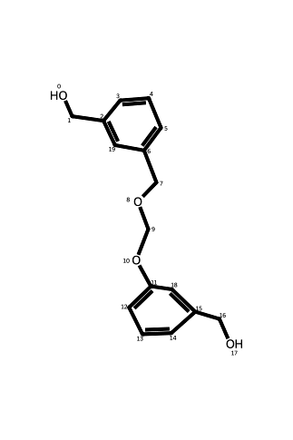 OCc1cccc(COCOc2cccc(CO)c2)c1